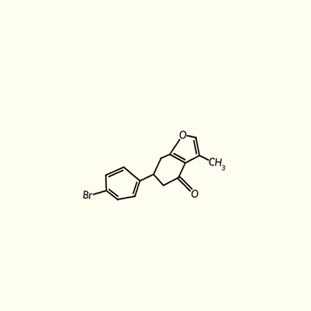 Cc1coc2c1C(=O)CC(c1ccc(Br)cc1)C2